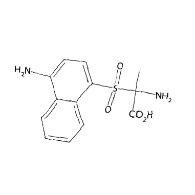 CC(N)(C(=O)O)S(=O)(=O)c1ccc(N)c2ccccc12